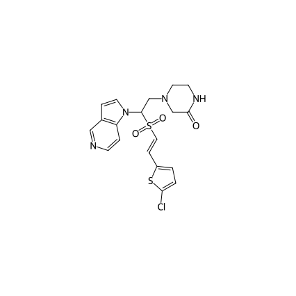 O=C1CN(CC(n2ccc3cnccc32)S(=O)(=O)C=Cc2ccc(Cl)s2)CCN1